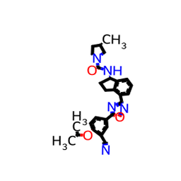 CC(C)Oc1ccc(-c2nc(-c3cccc4c3CC[C@@H]4NC(=O)N3CC[C@@H](C)C3)no2)cc1C#N